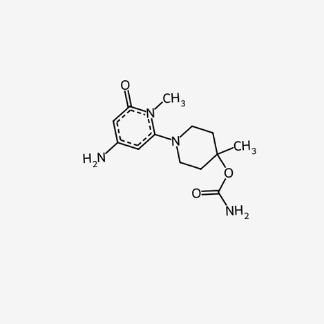 Cn1c(N2CCC(C)(OC(N)=O)CC2)cc(N)cc1=O